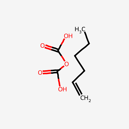 C=CCCCC.O=C(O)OC(=O)O